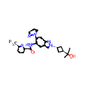 CC(C)(O)[C@H]1C[C@H](n2cc3cc(NC(=O)c4cccc(C(F)(F)F)n4)c(-n4cccn4)cc3n2)C1